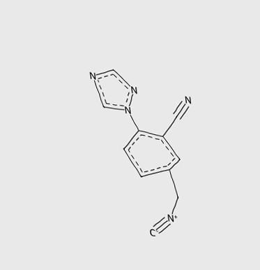 [C-]#[N+]Cc1ccc(-n2cncn2)c(C#N)c1